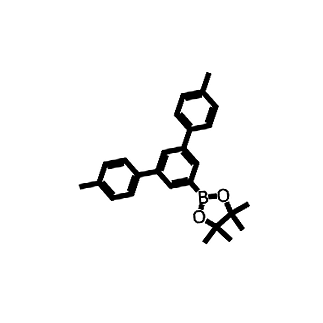 Cc1ccc(-c2cc(B3OC(C)(C)C(C)(C)O3)cc(-c3ccc(C)cc3)c2)cc1